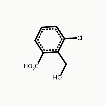 O=C(O)c1cccc(Cl)c1CO